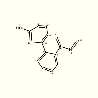 O=NC(=O)c1ccccc1-c1cccc(O)c1